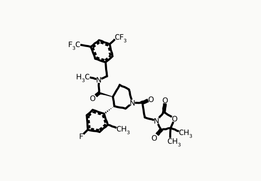 Cc1cc(F)ccc1[C@H]1CN(C(=O)CN2C(=O)OC(C)(C)C2=O)CC[C@@H]1C(=O)N(C)Cc1cc(C(F)(F)F)cc(C(F)(F)F)c1